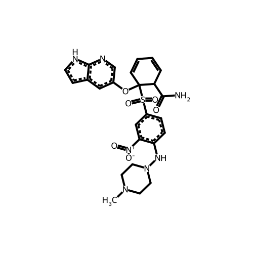 CN1CCN(Nc2ccc(S(=O)(=O)C3(Oc4cnc5[nH]ccc5c4)C=CC=CC3C(N)=O)cc2[N+](=O)[O-])CC1